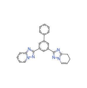 C1=Cn2nc(-c3cc(-c4ccccc4)cc(-c4nc5ccccn5n4)c3)nc2CC1